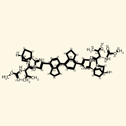 COC(=O)N[C@H](C(=O)N1C[C@@H]2CC[C@@]1(c1nc(-c3ccc(-c4ccc(-c5c[nH]c([C@@]67CC[C@@H](CN6C(=O)[C@@H](NC(=O)OC)C(C)C)C7)n5)c5c4CCC5)c4c3CCC4)c[nH]1)C2)C(C)C